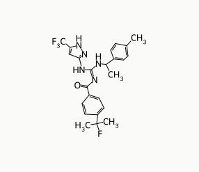 Cc1ccc(C(C)N/C(=N/C(=O)c2ccc(C(C)(C)F)cc2)Nc2cc(C(F)(F)F)[nH]n2)cc1